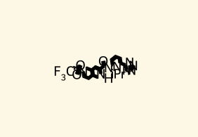 CC(C)n1nnnc1-c1cccc(NC(=O)c2cc3c(cn2)CCN(S(=O)(=O)CC(F)(F)F)C3)n1